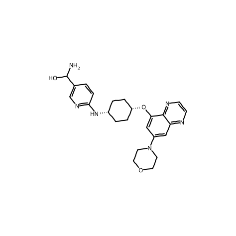 NC(O)c1ccc(N[C@H]2CC[C@@H](Oc3cc(N4CCOCC4)cc4nccnc34)CC2)nc1